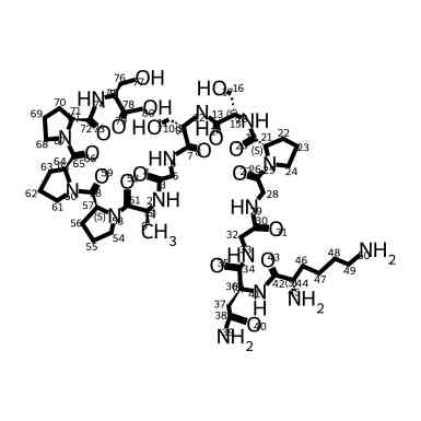 C[C@H](NC(=O)CNC(=O)[C@H](CO)NC(=O)[C@H](CO)NC(=O)[C@@H]1CCCN1C(=O)CNC(=O)CNC(=O)[C@H](CC(N)=O)NC(=O)[C@@H](N)CCCCN)C(=O)N1CCC[C@H]1C(=O)N1CCC[C@H]1C(=O)N1CCC[C@H]1C(=O)N[C@@H](CO)C(=O)O